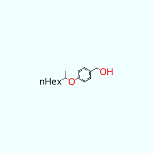 CCCCCCC(C)Oc1ccc(CO)cc1